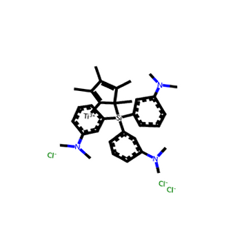 CC1=C(C)C(C)([Si](c2cccc(N(C)C)c2)(c2cccc(N(C)C)c2)c2cccc(N(C)C)c2)[C]([Ti+3])=C1C.[Cl-].[Cl-].[Cl-]